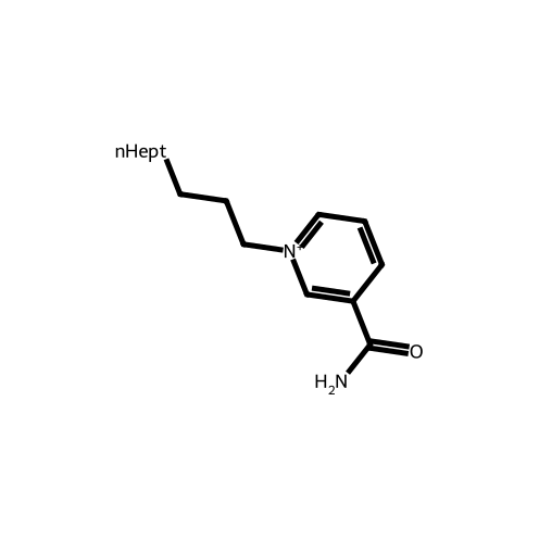 CCCCCCCCCC[n+]1cccc(C(N)=O)c1